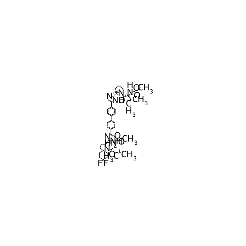 COC(=O)NC(CC(C)C)C(=O)N1C(c2nc(-c3ccc(-c4ccc(-c5cnc([C@@H]6CCCN6C(=O)[C@@H](NC(=O)OC)C(C)C)[nH]5)cc4)cc3)c[nH]2)CCC12CCC(F)(F)CC2